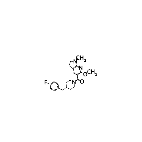 COc1nc2c(cc1C(=O)N1CCC(Cc3ccc(F)cc3)CC1)CCN2C